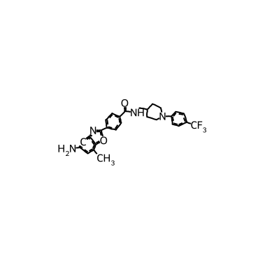 Cc1cc(N)cc2nc(-c3ccc(C(=O)NCC4CCN(c5ccc(C(F)(F)F)cc5)CC4)cc3)oc12